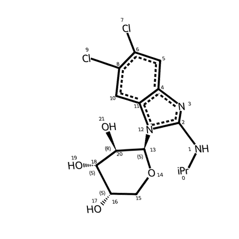 CC(C)Nc1nc2cc(Cl)c(Cl)cc2n1[C@H]1OC[C@H](O)[C@H](O)[C@H]1O